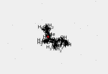 COCCO[C@H]1C[C@@H](COP(=O)(O)OC2[C@@H](COP(=O)(O)OC3[C@@H](COP(=O)(S)OC4[C@@H](CO)O[C@@H](n5cnc6c(=O)[nH]c(N)nc65)[C@H]4OCCOC)O[C@@H](n4cc(C)c(N)nc4=O)[C@H]3OCCOC)O[C@@H](n3cc(C)c(N)nc3=O)[C@H]2OCCOC)O[C@H]1n1cc(C)c(N)nc1=O